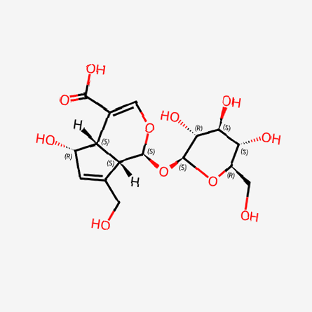 O=C(O)C1=CO[C@@H](O[C@@H]2O[C@H](CO)[C@@H](O)[C@H](O)[C@H]2O)[C@@H]2C(CO)=C[C@H](O)[C@H]12